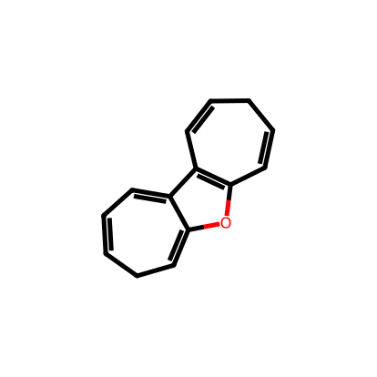 C1=CCC=c2oc3c(c2=C1)C=CCC=C3